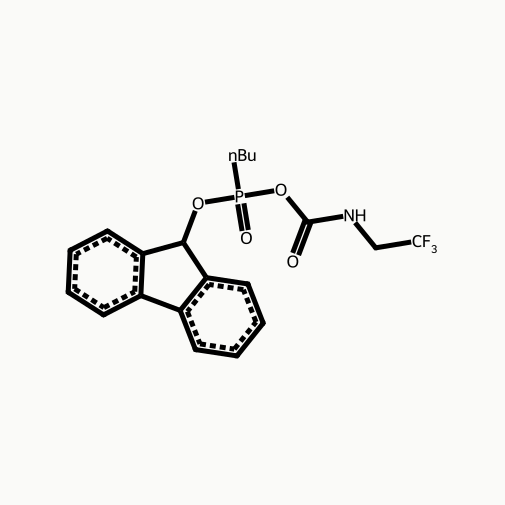 CCCCP(=O)(OC(=O)NCC(F)(F)F)OC1c2ccccc2-c2ccccc21